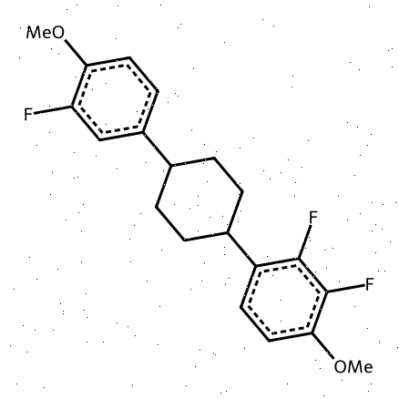 COc1ccc(C2CCC(c3ccc(OC)c(F)c3F)CC2)cc1F